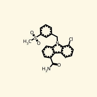 CS(=O)(=O)c1cccc(Cn2c3cccc(C(N)=O)c3c3[c]ccc(Cl)c32)c1